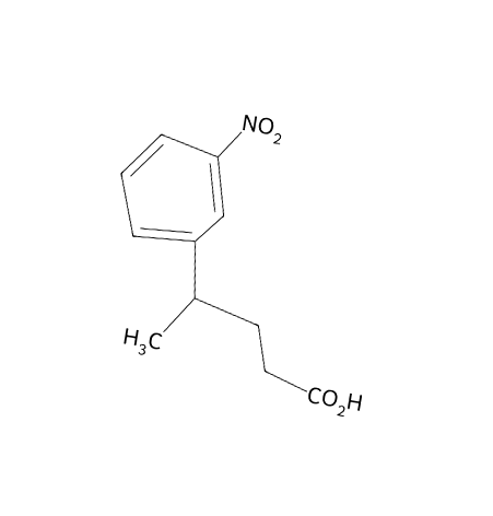 CC(CCC(=O)O)c1cccc([N+](=O)[O-])c1